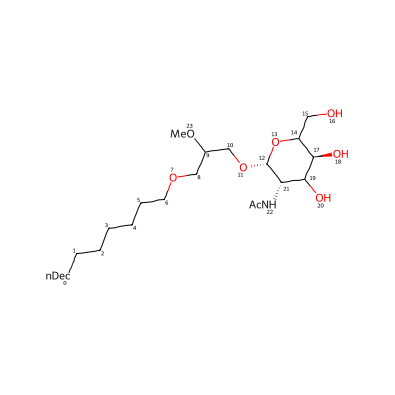 CCCCCCCCCCCCCCCCOCC(CO[C@@H]1OC(CO)[C@@H](O)C(O)[C@@H]1NC(C)=O)OC